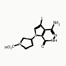 Nc1n[nH]c(=O)c2c1c(I)cn2C1CCN(C(=O)O)C1